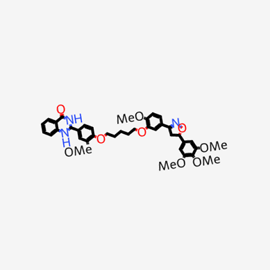 COc1cc(C2NC(=O)c3ccccc3N2)ccc1OCCCCCOc1cc(C2=NOC(c3cc(OC)c(OC)c(OC)c3)C2)ccc1OC